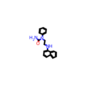 NC(=O)N(CCNc1cccc2ccccc12)c1ccccc1